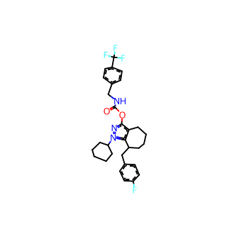 O=C(NCc1ccc(C(F)(F)F)cc1)Oc1nn(C2CCCCC2)c2c1CCCCC2Cc1ccc(F)cc1